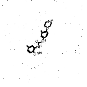 COc1ccc(C)cc1NC(=O)Nc1ccc(N2CCNCC2)c(C)c1